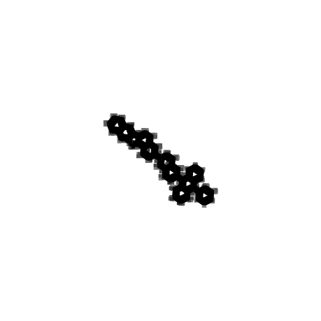 c1ccc(-c2c3ccccc3c(-c3ccc4cc(-c5ccc6c(ccc7c8cc9ccccc9cc8sc67)c5)ccc4c3)c3ccccc23)cc1